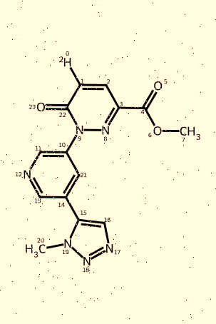 [2H]c1cc(C(=O)OC)nn(-c2cncc(-c3cnnn3C)c2)c1=O